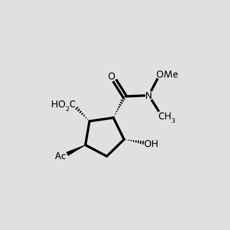 CON(C)C(=O)[C@H]1[C@@H](C(=O)O)[C@H](C(C)=O)C[C@H]1O